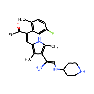 CCC(=O)/C(=C/c1[nH]c(C)c(/C(N)=C/NC2CCNCC2)c1C)c1cc(F)ccc1C